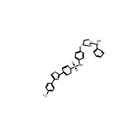 O=S(=O)(Nc1ccc(C[C@@H]2CC[C@H]([C@H](O)c3ccccc3)N2)cc1)C1C=CC(c2nc(-c3ccc(C(F)(F)F)cc3)cs2)=CC1